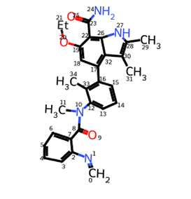 C=Nc1ccccc1C(=O)N(C)c1cccc(-c2cc(OCC)c(C(N)=O)c3[nH]c(C)c(C)c23)c1C